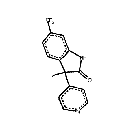 CC1(c2ccncc2)C(=O)Nc2cc(C(F)(F)F)ccc21